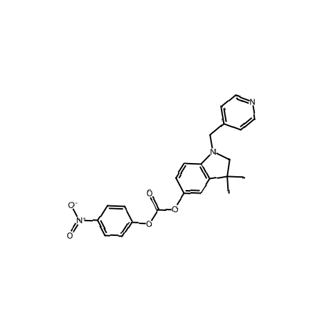 CC1(C)CN(Cc2ccncc2)c2ccc(OC(=O)Oc3ccc([N+](=O)[O-])cc3)cc21